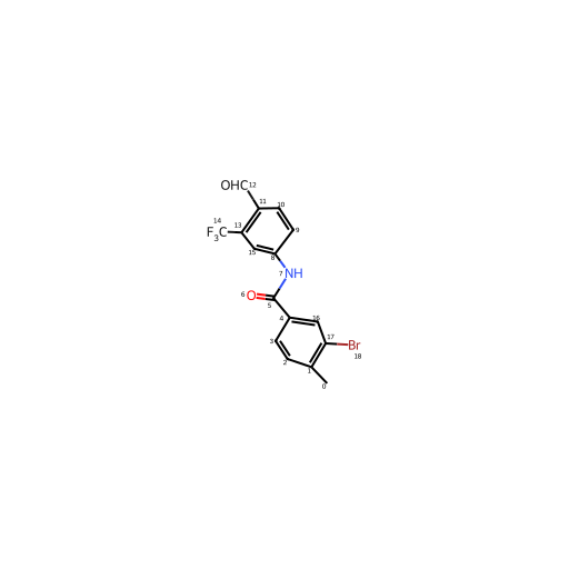 Cc1ccc(C(=O)Nc2ccc(C=O)c(C(F)(F)F)c2)cc1Br